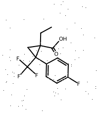 CCC1(C(=O)O)CC1(c1ccc(F)cc1)C(F)(F)F